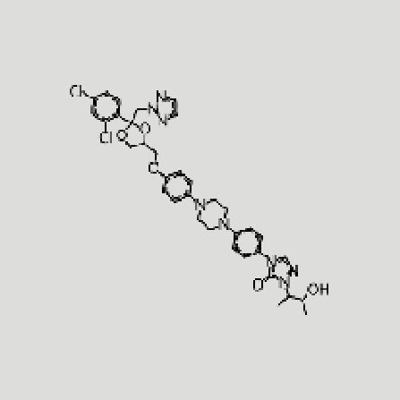 CC(O)C(C)n1ncn(-c2ccc(N3CCN(c4ccc(OCC5COC(Cn6nccn6)(c6ccc(Cl)cc6Cl)O5)cc4)CC3)cc2)c1=O